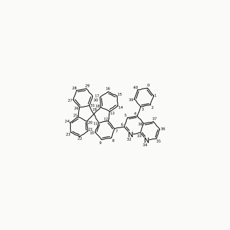 c1ccc(-c2cc(-c3cccc4c3-c3ccccc3C43c4ccccc4-c4ccccc43)nc3ncccc23)cc1